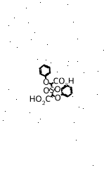 O=C(O)C(Oc1ccccc1)S(=O)(=O)C(Oc1ccccc1)C(=O)O